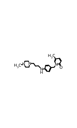 Cc1ccc(=O)n(Cc2ccc(NCCCN3CCN(C)CC3)cc2)c1